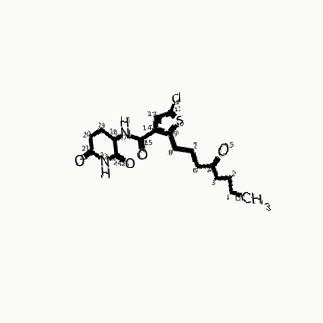 CCCCC(=O)CCCc1sc(Cl)cc1C(=O)NC1CCC(=O)NC1=O